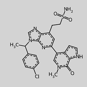 CC(c1ccc(Cl)cc1)n1cnc2c(CCS(N)(=O)=O)cc(-c3cn(C)c(=O)c4[nH]ccc34)nc21